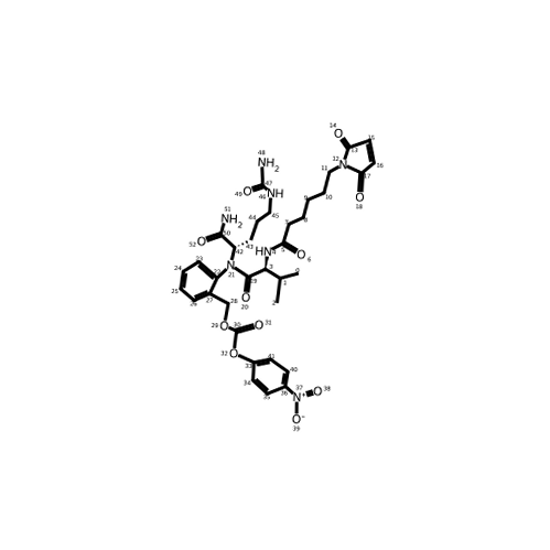 CC(C)[C@H](NC(=O)CCCCCN1C(=O)C=CC1=O)C(=O)N(c1ccccc1COC(=O)Oc1ccc([N+](=O)[O-])cc1)[C@@H](CCCNC(N)=O)C(N)=O